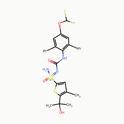 Cc1cc([S@](N)(=O)=NC(=O)Nc2c(C(C)C)cc(OC(F)F)cc2C(C)C)sc1C(C)(C)O